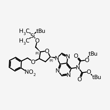 CC(C)(C)OC(=O)N(C(=O)OC(C)(C)C)c1ncnc2c1ncn2[C@H]1CC(OCc2ccccc2[N+](=O)[O-])[C@@H](CO[Si](C)(C)C(C)(C)C)O1